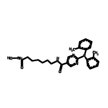 Cc1ccccc1N(c1ncc(C(=O)NCCCCCCC(=O)NO)cn1)c1ccccc1C